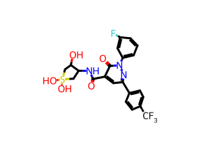 O=C(NC1CS(O)(O)CC1O)c1cc(-c2ccc(C(F)(F)F)cc2)nn(-c2cccc(F)c2)c1=O